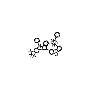 CC1(C)c2cc3c4cc(-c5ccc6oc7cccc(-c8nc(-c9ccccc9)nc(-c9ccccc9)n8)c7c6c5)ccc4n(-c4ccccc4)c3cc2C(C)(C)C1(C)C